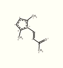 CC(=O)C=Cn1c(C)ccc1C